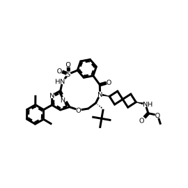 COC(=O)N[C@H]1CC2(C1)C[C@H](N1C(=O)c3cccc(c3)S(=O)(=O)Nc3nc(cc(-c4c(C)cccc4C)n3)OC[C@H]1CC(C)(C)C)C2